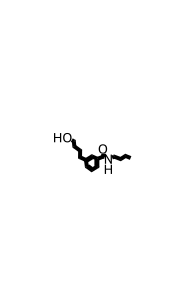 CCCCNC(=O)c1cccc(CCCCO)c1